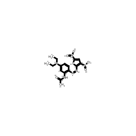 CCN(CC)c1ccc(/N=N\c2sc([N+](=O)[O-])cc2[N+](=O)[O-])c(NC(C)=O)c1